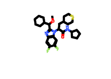 COC(c1nc2cc(F)c(F)cc2n1C(CC1CCSCC1)C(=O)NC1CCCC1)C1CCCCC1